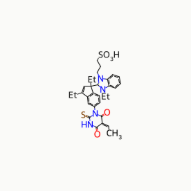 CC=C1C(=O)NC(=S)N(c2ccc3c(c2)C(CC)=CC3(CC)C2N(CC)c3ccccc3N2CCCS(=O)(=O)O)C1=O